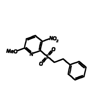 COc1ccc([N+](=O)[O-])c(S(=O)(=O)CCc2ccccc2)n1